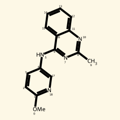 COc1ccc(Nc2nc(C)nc3ccccc23)cn1